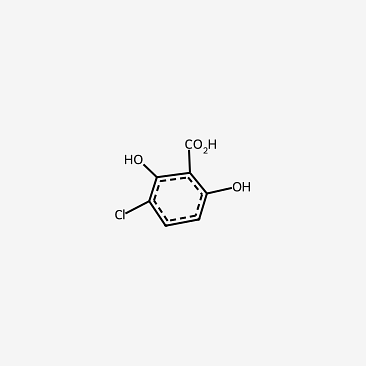 O=C(O)c1c(O)ccc(Cl)c1O